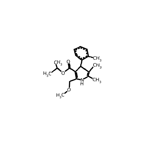 COCC1=C(C(=O)OC(C)C)C(c2ccccc2C)C(C)=C(C)N1